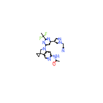 CC(=O)Nc1cc2c(cn1)C1(CC1)CN2c1cc(-c2cnn(CC#N)c2)nc(C(C)(F)F)n1